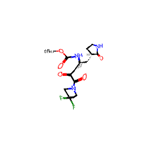 CC(C)(C)OC(=O)N[C@@H](C[C@@H]1CCNC1=O)C(=O)C(=O)N1CC(F)(F)C1